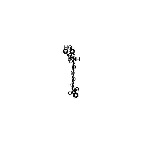 O=C(CCOCCOCCOCCOCCN1C(=O)c2ccccc2C1=O)N[C@@H](Cc1ccc(O)cc1)C(=O)OCc1ccccc1